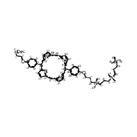 CCCCCCCCCCCCOc1ccc(-c2c3nc(cc4ccc([nH]4)c(-c4ccc(OCCC[N+](C)(C)CCC[N+](C)(C)CCC[N+](C)(C)C)cc4)c4nc(cc5ccc2[nH]5)C=C4)C=C3)cc1